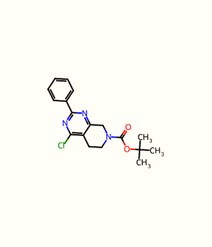 CC(C)(C)OC(=O)N1CCc2c(Cl)nc(-c3ccccc3)nc2C1